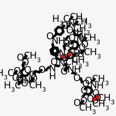 CC(=O)NC1C(OCCOCCNC(=O)CN(CC(=O)NCCOCCOC2OC(COC(C)=O)C(OC(C)=O)C(OC(C)=O)C2NC(C)=O)C(Cc2ccc(CNC(=O)C3CCC(OP(OCCC#N)N(C(C)C)C(C)C)CC3)cc2)C(=O)NCCOCCOC2OC(COC(C)=O)C(OC(C)=O)C(OC(C)=O)C2NC(C)=O)OC(COC(C)=O)C(OC(C)=O)C1OC(C)=O